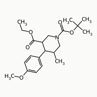 CCOC(=O)C1CN(C(=O)OC(C)(C)C)CC(C)C1c1ccc(OC)cc1